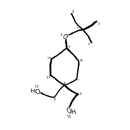 CC(C)(C)OC1CCC(CO)(CO)CC1